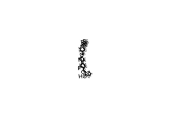 C[C@@]1(CO)CCCN1C1OC1c1ccc(-c2ccc(OCC3CCN(CC(F)(F)C(F)(F)F)CC3)cn2)cc1F